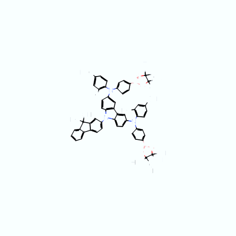 Cc1ccc(N(c2ccc(B3OC(C)(C)C(C)(C)O3)cc2)c2ccc3c(c2)c2cc(N(c4ccc(B5OC(C)(C)C(C)(C)O5)cc4)c4ccc(C)cc4C)ccc2n3-c2ccc3c(c2)C(C)(C)c2ccccc2-3)c(C)c1